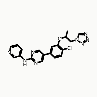 CC(Cn1cnnn1)Oc1cc(-c2cnc(Nc3cccnc3)nc2)ccc1Cl